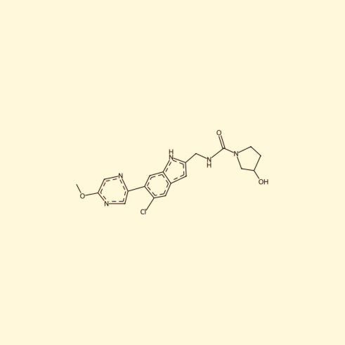 COc1cnc(-c2cc3[nH]c(CNC(=O)N4CCC(O)C4)cc3cc2Cl)cn1